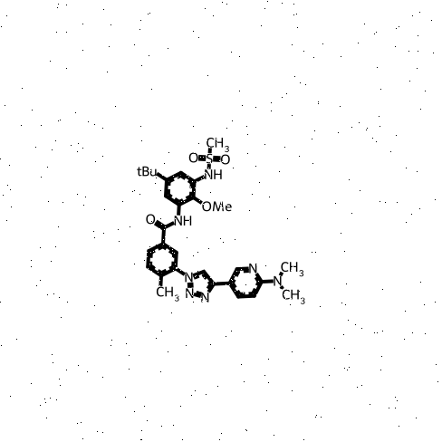 COc1c(NC(=O)c2ccc(C)c(-n3cc(-c4ccc(N(C)C)nc4)nn3)c2)cc(C(C)(C)C)cc1NS(C)(=O)=O